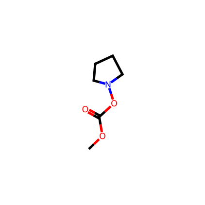 COC(=O)ON1CCCC1